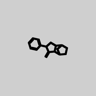 C=C1C(c2ccccc2)CC2C3CCC(C3)C12